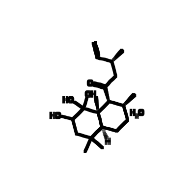 C=C[C@@H](C)CC(=O)[C@H]1[C@@H](C)CC[C@H]2C(C)(C)CC(O)C(O)(O)[C@]12C.O